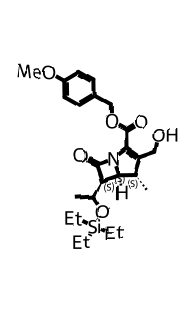 CC[Si](CC)(CC)OC(C)[C@H]1C(=O)N2C(C(=O)OCc3ccc(OC)cc3)=C(CO)[C@H](C)[C@@H]12